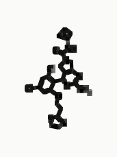 Nc1nc2c(c(-c3c(Cl)cc(Cl)cc3OCCc3nccs3)n1)CN(C(=O)NC13CC(C1)C3)C2